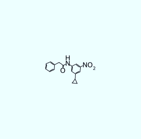 O=C(Cc1ccccc1)Nc1cc(C2CC2)cc([N+](=O)[O-])c1